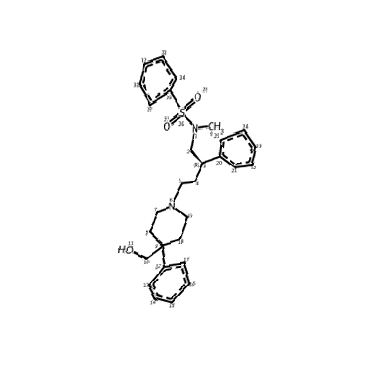 CN(C[C@H](CCN1CCC(CO)(c2ccccc2)CC1)c1ccccc1)S(=O)(=O)c1ccccc1